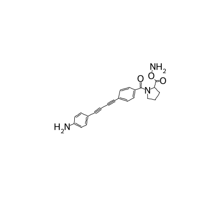 NOC(=O)C1CCCN1C(=O)c1ccc(C#CC#Cc2ccc(N)cc2)cc1